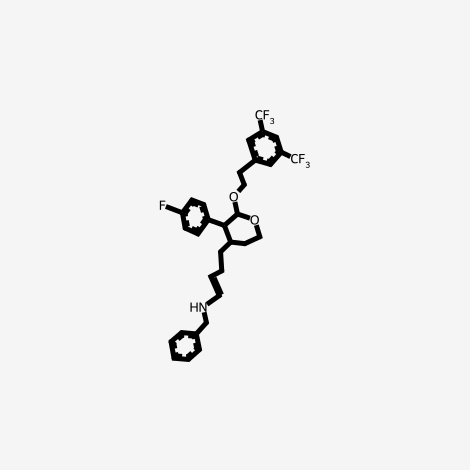 Fc1ccc(C2C(CCC=CNCc3ccccc3)CCOC2OCCc2cc(C(F)(F)F)cc(C(F)(F)F)c2)cc1